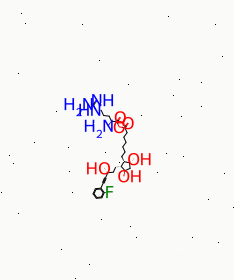 N=C(N)NCCC[C@H](N)C(=O)OC(=O)CCCCCC[C@@H]1[C@@H](CC[C@@H](O)C#Cc2ccccc2F)[C@H](O)C[C@H]1O